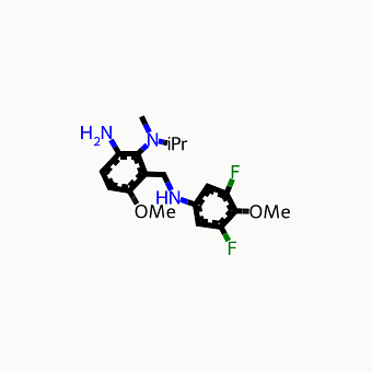 COc1ccc(N)c(N(C)C(C)C)c1CNc1cc(F)c(OC)c(F)c1